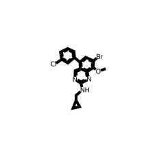 COc1c(Br)cc(-c2cccc(Cl)c2)c2cnc(NCC3CC3)nc12